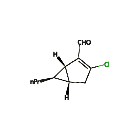 CCC[C@@H]1[C@H]2CC(Cl)=C(C=O)[C@@H]12